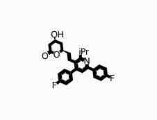 CC(C)c1nc(-c2ccc(F)cc2)cc(-c2ccc(F)cc2)c1/C=C/[C@@H]1C[C@@H](O)CC(=O)O1